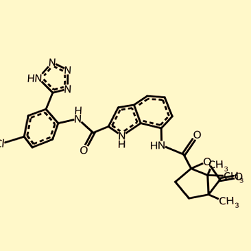 CC12CCC(C(=O)Nc3cccc4cc(C(=O)Nc5ccc(Cl)cc5-c5nnn[nH]5)[nH]c34)(OC1=O)C2(C)C